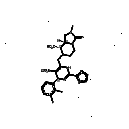 CCOC(=O)C1=C(CN2CCN3C(=S)N(C)C[C@@H]3[C@H]2C(=O)O)NC(c2nccs2)=N[C@H]1c1cccc(F)c1C